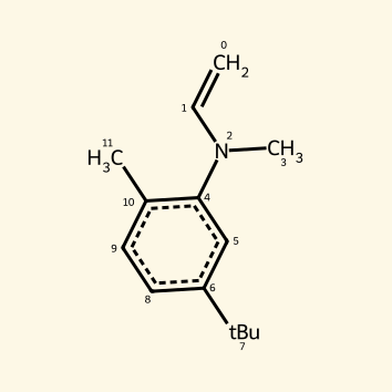 C=CN(C)c1cc(C(C)(C)C)ccc1C